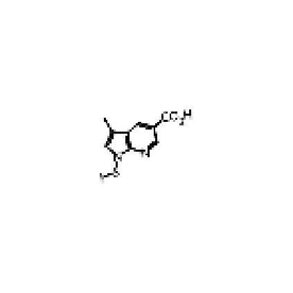 Cc1cn(SI)c2ncc(C(=O)O)cc12